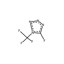 Fc1nnnn1C(F)(F)F